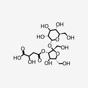 O=C(CC(O)C(=O)O)O[C@H]1[C@H](O)[C@@H](CO)O[C@@]1(CO)O[C@H]1O[C@H](CO)[C@@H](O)[C@H](O)[C@H]1O